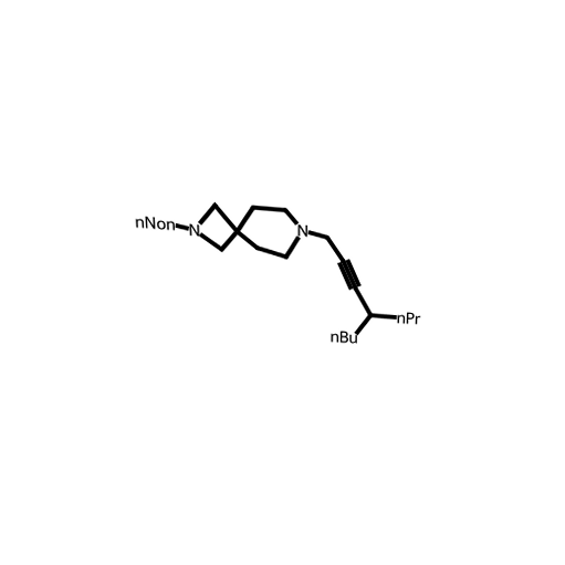 CCCCCCCCCN1CC2(CCN(CC#CC(CCC)CCCC)CC2)C1